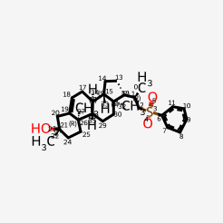 C[C@@H](CS(=O)(=O)c1ccccc1)[C@H]1CC[C@H]2[C@@H]3CC=C4C[C@@](C)(O)CC[C@]4(C)[C@H]3CC[C@]12C